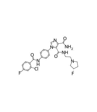 NC(=O)c1ncn(-c2ccc(NC(=O)c3ccc(F)cc3Cl)cc2)c1C(=O)NCCN1CC[C@H](F)C1